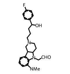 CNc1cccc2c1N(CC=O)C1CCN(CCCC(O)c3ccc(F)cc3)CC21